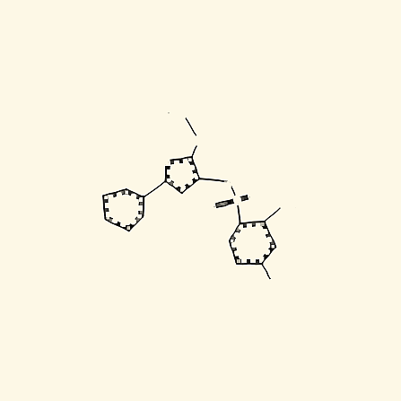 Cc1ccc(S(=O)(=O)Nc2cc(-c3ccccc3)sc2OC(=O)O)c(C)c1